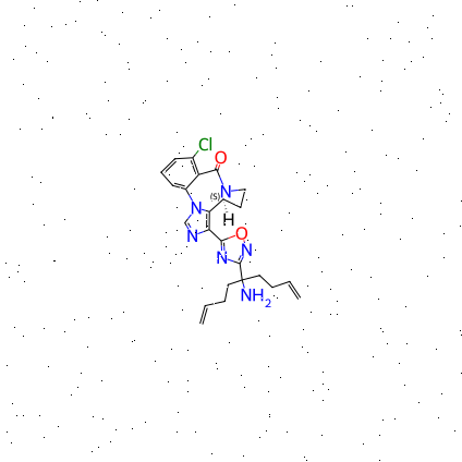 C=CCCC(N)(CCC=C)c1noc(-c2ncn3c2[C@@H]2CCN2C(=O)c2c(Cl)cccc2-3)n1